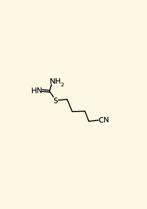 N#CCCCCSC(=N)N